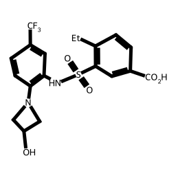 CCc1ccc(C(=O)O)cc1S(=O)(=O)Nc1cc(C(F)(F)F)ccc1N1CC(O)C1